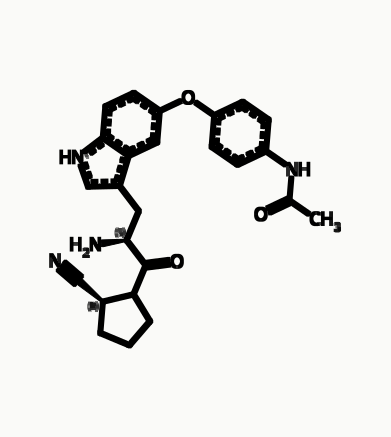 CC(=O)Nc1ccc(Oc2ccc3[nH]cc(C[C@H](N)C(=O)C4CCC[C@H]4C#N)c3c2)cc1